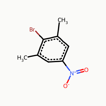 Cc1cc([N+](=O)[O-])cc(C)c1Br